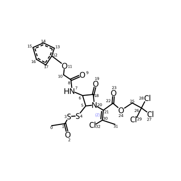 CC(=O)SSC1C(NC(=O)COc2ccccc2)C(=O)N1/C(C(=O)OCC(Cl)(Cl)Cl)=C(/C)Cl